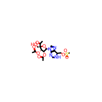 CC(=O)O[C@H]1[C@H](n2cnc3c2N=CNC3COS(C)(=O)=O)O[C@@](CO)(C(C)=O)[C@H]1OC(C)=O